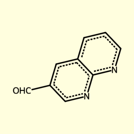 O=Cc1cnc2ncccc2c1